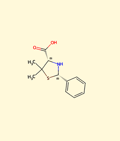 CC1(C)S[C@@H](c2ccccc2)N[C@H]1C(=O)O